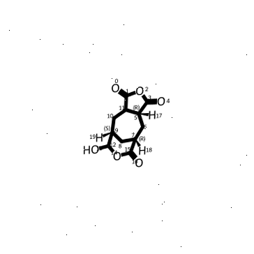 O=C1OC(=O)[C@@H]2C[C@H]3C[C@@H](CC12)C(O)OC3=O